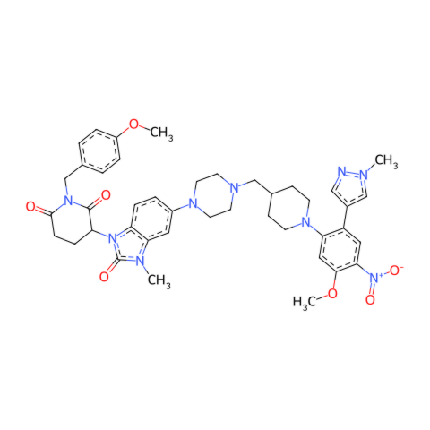 COc1ccc(CN2C(=O)CCC(n3c(=O)n(C)c4cc(N5CCN(CC6CCN(c7cc(OC)c([N+](=O)[O-])cc7-c7cnn(C)c7)CC6)CC5)ccc43)C2=O)cc1